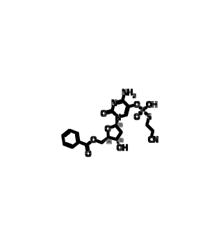 N#CCCSP(=O)(O)Oc1cn([C@H]2C[C@H](O)[C@@H](COC(=O)c3ccccc3)O2)c(=O)nc1N